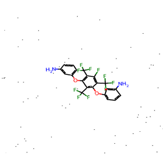 Nc1cccc(Oc2c(C(F)(F)F)c(F)c(C(F)(F)F)c(Oc3cccc(N)c3)c2C(F)(F)F)c1